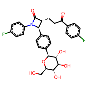 O=C(CC[C@H]1C(=O)N(c2ccc(F)cc2)[C@@H]1c1ccc([C@@H]2O[C@H](CO)[C@@H](O)[C@H](O)[C@H]2O)cc1)c1ccc(F)cc1